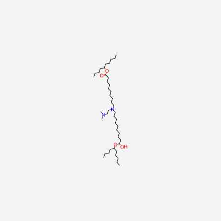 CCCCCC(CCCC)OC(=O)CCCCCCCCCN(CCCCCCCCCC(O)OC(CCCC)CCCCC)CCN(C)C